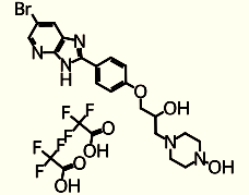 O=C(O)C(F)(F)F.O=C(O)C(F)(F)F.OC(COc1ccc(-c2nc3cc(Br)cnc3[nH]2)cc1)CN1CCN(O)CC1